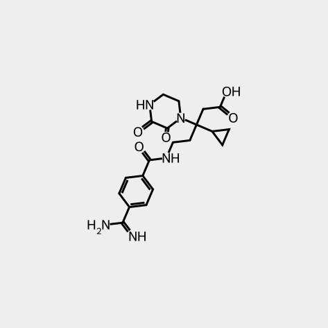 N=C(N)c1ccc(C(=O)NCCC(CC(=O)O)(C2CC2)N2CCNC(=O)C2=O)cc1